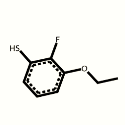 CCOc1cccc(S)c1F